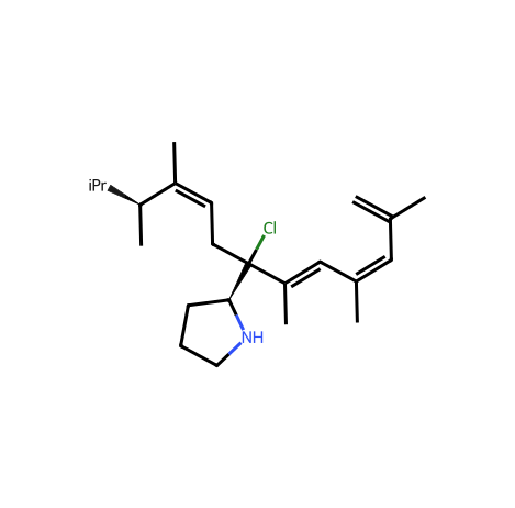 C=C(C)/C=C(C)\C=C(/C)C(Cl)(C/C=C(/C)[C@@H](C)C(C)C)[C@@H]1CCCN1